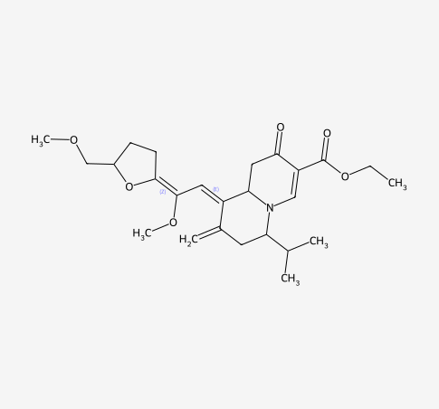 C=C1CC(C(C)C)N2C=C(C(=O)OCC)C(=O)CC2/C1=C/C(OC)=C1\CCC(COC)O1